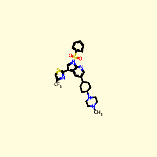 CN1CCN(C2CCC(c3cnc4c(c3)c(-c3nc(C(F)(F)F)cs3)cn4S(=O)(=O)c3ccccc3)CC2)CC1